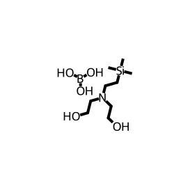 C[Si](C)(C)CCN(CCO)CCO.OB(O)O